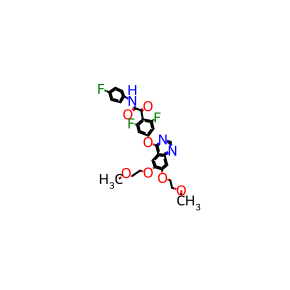 COCCOc1cc2ncnc(Oc3cc(F)c(C(=O)C(=O)Nc4ccc(F)cc4)c(F)c3)c2cc1OCCOC